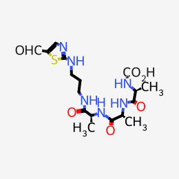 C[C@H](NC(=O)O)C(=O)N[C@@H](C)C(=O)N[C@@H](C)C(=O)NCCCNc1ncc(C=O)s1